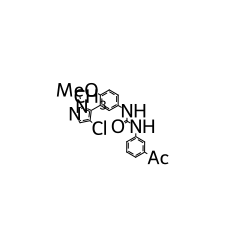 COc1ccc(NC(=O)Nc2cccc(C(C)=O)c2)cc1-c1c(Cl)cnn1C